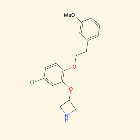 COc1cccc(CCOc2ccc(Cl)cc2OC2CNC2)c1